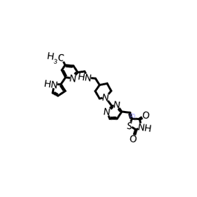 Cc1cc(CNCC2CCN(c3nccc(/C=C4\SC(=O)NC4=O)n3)CC2)nc(-c2ccc[nH]2)c1